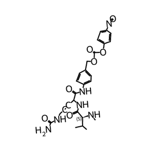 CN[C@H](C(=O)NC(CCCNC(N)=O)C(=O)Nc1ccc(COC(=O)Oc2ccc(N=O)cc2)cc1)C(C)C